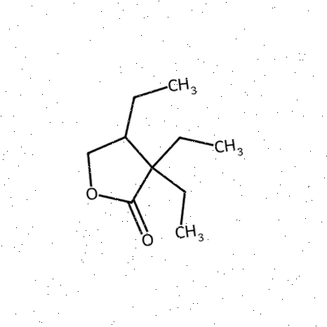 CCC1COC(=O)C1(CC)CC